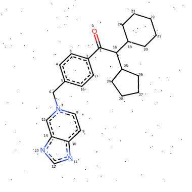 O=C(c1ccc(Cn2ccc3ncnc-3c2)cc1)C(C1CCCCC1)C1CCCC1